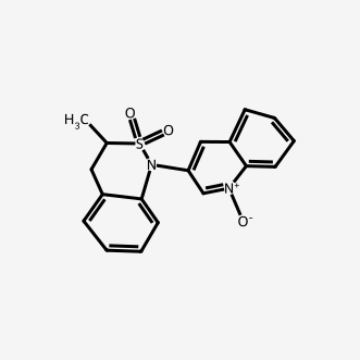 CC1Cc2ccccc2N(c2cc3ccccc3[n+]([O-])c2)S1(=O)=O